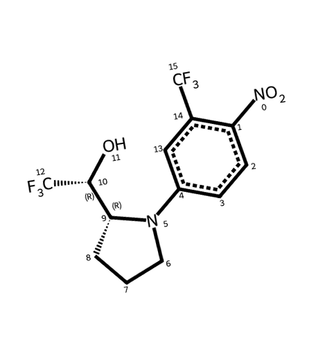 O=[N+]([O-])c1ccc(N2CCC[C@@H]2[C@@H](O)C(F)(F)F)cc1C(F)(F)F